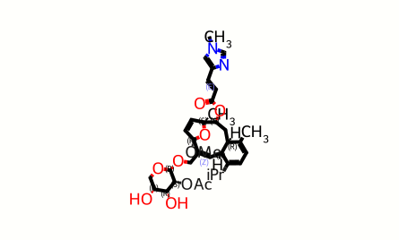 CO[C@]12C=C[C@](C)(O1)[C@@H](OC(=O)/C=C/c1cn(C)cn1)C[C@H]1C(C)=CC=C(C(C)C)[C@H]1/C=C\2CO[C@@H]1OC[C@@H](O)[C@@H](O)[C@@H]1OC(C)=O